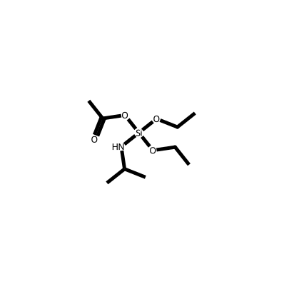 CCO[Si](NC(C)C)(OCC)OC(C)=O